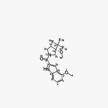 COc1cccc2[nH]c(C(=O)N3CC[C@@](OC)(C(F)(F)F)C3)cc12